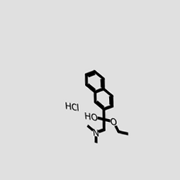 CCOC(O)(CN(C)C)c1ccc2ccccc2c1.Cl